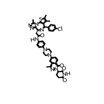 Cc1sc2c(c1C)C(c1ccc(Cl)cc1)=N[C@@H](CC(=O)Nc1ccc(N3CCN(c4ccc5c(=O)n(C6CCC(=O)NC6=O)nc(C)c5c4)CC3)cc1)c1nnc(C)n1-2